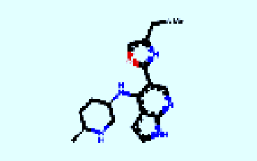 CNCc1coc(-c2cnc3[nH]ccc3c2N[C@@H]2CC[C@H](C)NC2)n1